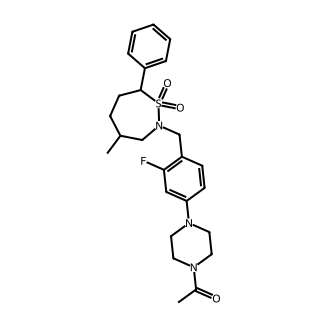 CC(=O)N1CCN(c2ccc(CN3CC(C)CCC(c4ccccc4)S3(=O)=O)c(F)c2)CC1